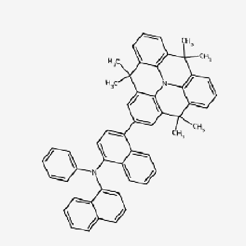 CC1(C)c2cccc3c2N2c4c1cccc4C(C)(C)c1cc(-c4ccc(N(c5ccccc5)c5cccc6ccccc56)c5ccccc45)cc(c12)C3(C)C